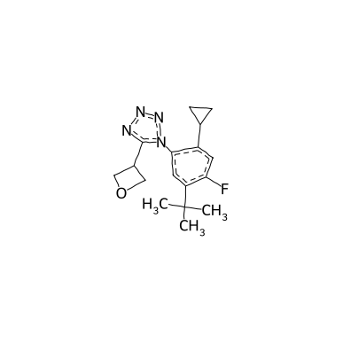 CC(C)(C)c1cc(-n2nnnc2C2COC2)c(C2CC2)cc1F